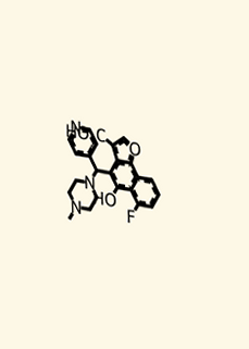 CN1CCN(C(c2ccncc2)c2c(O)c3c(F)cccc3c3occ(C(=O)O)c23)CC1